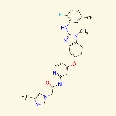 Cn1c(Nc2cc(C(F)(F)F)ccc2F)nc2cc(Oc3ccnc(NC(=O)Cn4cnc(C(F)(F)F)c4)c3)ccc21